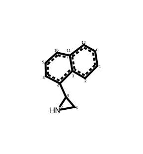 c1ccc2c(C3CN3)cccc2c1